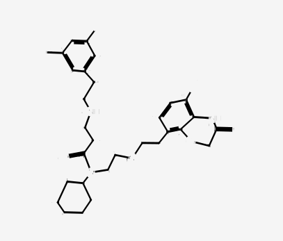 O=C1COc2c(CCNCCN(C(=O)CCNCCc3cc(F)cc(Cl)c3)C3CCCCC3)ccc(O)c2N1